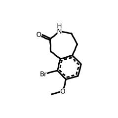 COc1ccc2c(c1Br)CC(=O)NCC2